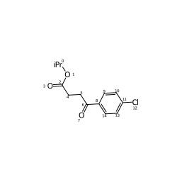 CC(C)OC(=O)CCC(=O)c1ccc(Cl)cc1